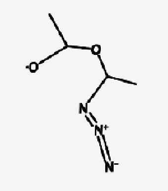 CC([O])OC(C)N=[N+]=[N-]